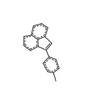 Cc1ccc(C2=Cc3cccc4cccc2c34)cc1